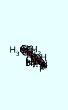 CN(C(=O)OC(C)(C)C)[C@H]1CN[C@@H](CCOc2c(Cl)c(Br)c(F)c3nc(OC[C@@]45CCCN4C[C@H](F)C5)nc(O)c23)C1